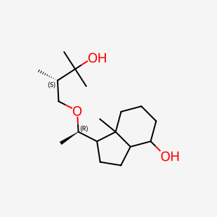 C[C@@H](OC[C@H](C)C(C)(C)O)C1CCC2C(O)CCCC21C